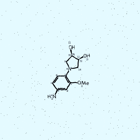 COc1cc(N)ccc1N1C[C@@H](O)[C@@H](O)C1